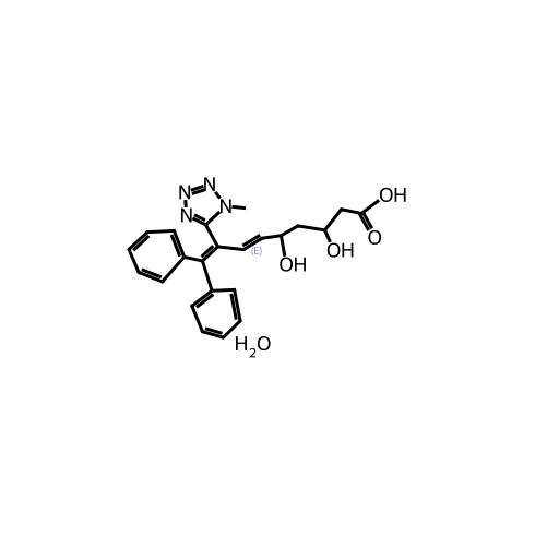 Cn1nnnc1C(/C=C/C(O)CC(O)CC(=O)O)=C(c1ccccc1)c1ccccc1.O